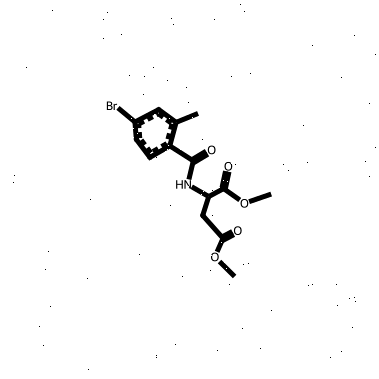 COC(=O)CC(NC(=O)c1ccc(Br)cc1C)C(=O)OC